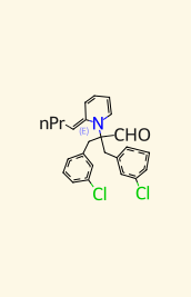 CCC/C=C1\C=CC=CN1C(C=O)(Cc1cccc(Cl)c1)Cc1cccc(Cl)c1